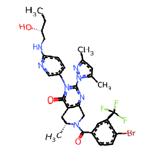 CC[C@@H](O)CNc1ccc(-n2c(-n3nc(C)cc3C)nc3c(c2=O)C[C@@H](C)N(C(=O)c2ccc(Br)c(C(F)(F)F)c2)C3)cn1